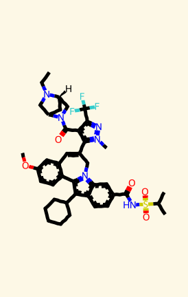 CCN1CC2C[C@H]1CN2C(=O)c1c(C(F)(F)F)nn(C)c1C1=Cc2cc(OC)ccc2-c2c(C3CCCCC3)c3ccc(C(=O)NS(=O)(=O)C(C)C)cc3n2C1